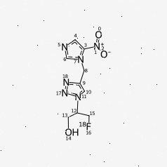 O=[N+]([O-])c1cncn1Cc1cn(C(CO)C[18F])nn1